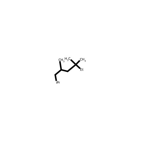 [CH2]C(C)CC(C)CC(C)(C)CC